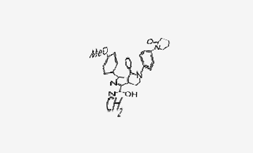 C=NC(O)C1=NC(C2C=CC(OC)=CC2)C2=C1CCN(c1ccc(N3CCCCC3=O)cc1)C2=O